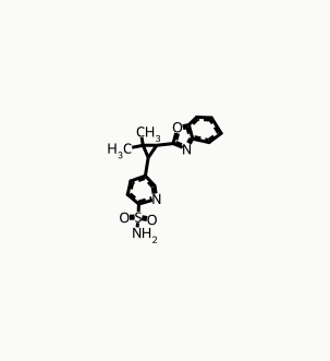 CC1(C)C(c2ccc(S(N)(=O)=O)nc2)C1c1nc2ccccc2o1